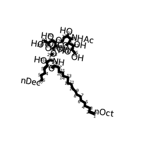 CCCCCCCC/C=C\CCCCCCCCCCCCCCCC(=O)N[C@@H](CO[C@@H]1OC(CO)[C@H](O)[C@H](O[C@]2(C(=O)O)CC(O)[C@@H](NC(C)=O)C([C@H](O)[C@H](O)CO)O2)C1O)[C@H](O)/C=C/CCCCCCCCCCCCC